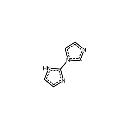 [c]1nccn1-c1ncc[nH]1